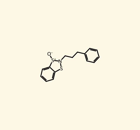 [O-][S+]1c2ccccc2SN1CCCc1ccccc1